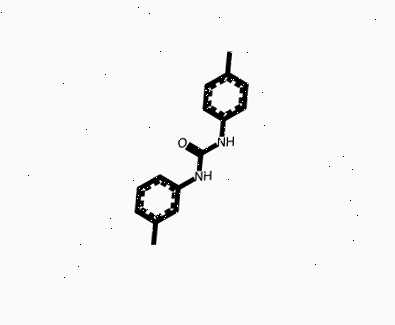 Cc1ccc(NC(=O)Nc2cccc(C)c2)cc1